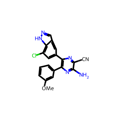 COc1cccc(-c2nc(N)c(C#N)nc2-c2cc(Cl)c3[nH]ncc3c2)c1